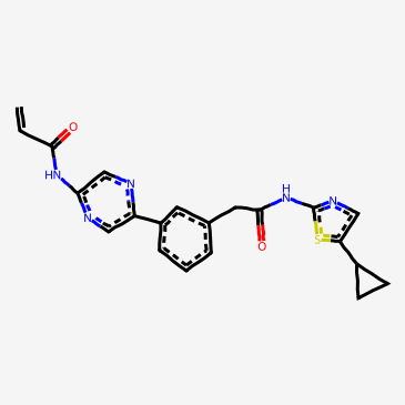 C=CC(=O)Nc1cnc(-c2cccc(CC(=O)Nc3ncc(C4CC4)s3)c2)cn1